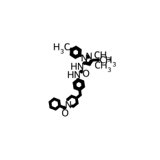 Cc1ccc(-n2nc(C(C)(C)C)cc2NC(=O)Nc2ccc(CC3CCN(C(=O)C4CCCCC4)CC3)cc2)cc1